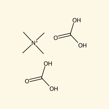 C[N+](C)(C)C.O=C(O)O.O=C(O)O